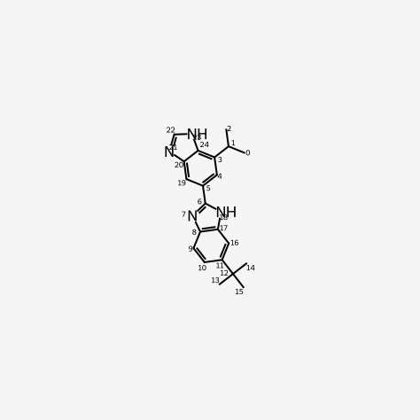 CC(C)c1cc(-c2nc3ccc(C(C)(C)C)cc3[nH]2)cc2nc[nH]c12